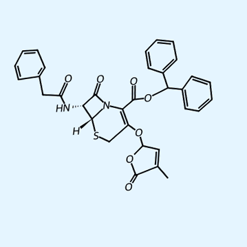 CC1=CC(OC2=C(C(=O)OC(c3ccccc3)c3ccccc3)N3C(=O)[C@@H](NC(=O)Cc4ccccc4)[C@H]3SC2)OC1=O